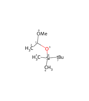 COC(C)O[Si](C)(C)C(C)(C)C